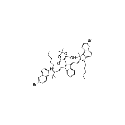 CCCCCN1/C(=C/C=C2C(C3=C(O)OC(C)(C)OC3=O)=C(/C=C/C3=[N+](CCCCC)c4ccc5cc(Br)ccc5c4C3(C)C)c3ccccc3/2)C(C)(C)c2c1ccc1cc(Br)ccc21